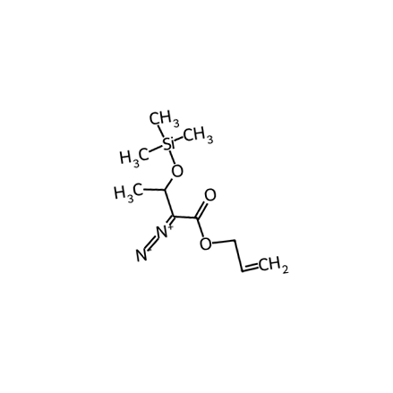 C=CCOC(=O)C(=[N+]=[N-])C(C)O[Si](C)(C)C